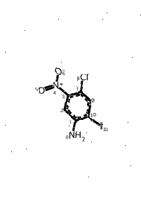 Nc1cc([N+](=O)[O-])c(Cl)cc1I